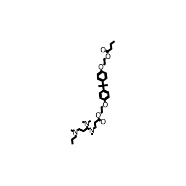 CCCC(=O)OCCOc1ccc(C(C)(C)c2ccc(OCCOC(=O)CCN(C)C(CCN(C)CCC)N(C)C)cc2)cc1